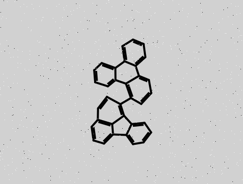 c1ccc2c(c1)-c1cccc3ccc(-c4cccc5c6ccccc6c6ccccc6c45)c-2c13